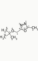 Cc1nnc(COC(C)(C)C)o1